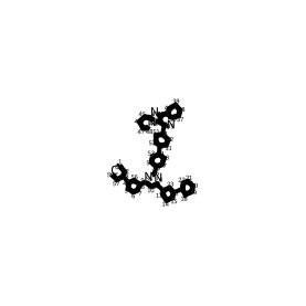 c1ccc(-c2cccc(-c3cc(-c4cccc(-c5ccccc5)c4)nc(-c4ccc(-c5ccc(-c6nc7ccccc7c7nc8ccccn8c67)cc5)cc4)n3)c2)cc1